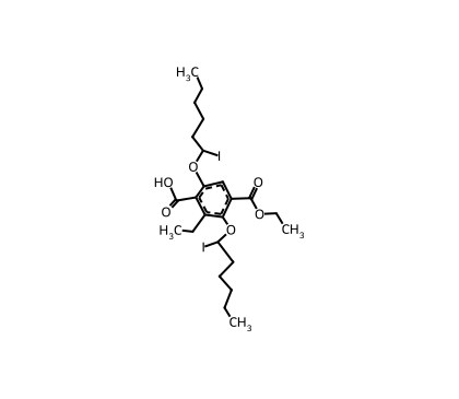 CCCCCC(I)Oc1cc(C(=O)OCC)c(OC(I)CCCCC)c(CC)c1C(=O)O